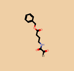 CCC(=O)C(=O)NCCCC(=O)OCc1ccccc1